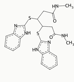 CNC(=O)CC(Sc1nc2ccccc2[nH]1)C(CC(=O)NC)Sc1nc2ccccc2[nH]1